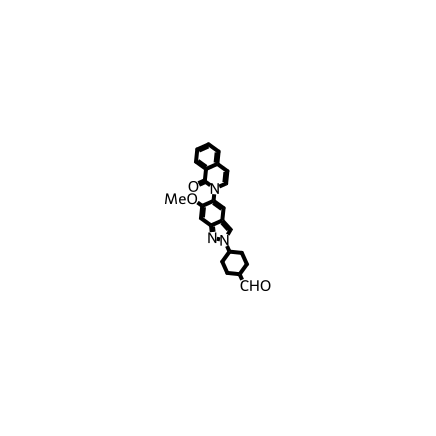 COc1cc2nn(C3CCC(C=O)CC3)cc2cc1-n1ccc2ccccc2c1=O